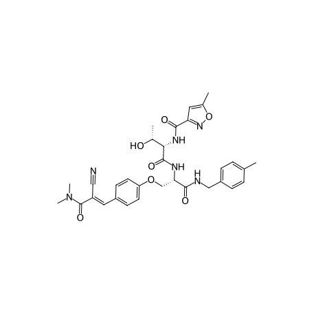 Cc1ccc(CNC(=O)[C@H](COc2ccc(/C=C(\C#N)C(=O)N(C)C)cc2)NC(=O)[C@@H](NC(=O)c2cc(C)on2)[C@@H](C)O)cc1